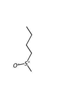 CCCC[S+](C)[O-]